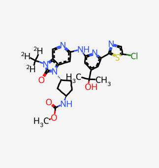 [2H]C([2H])([2H])n1c(=O)n([C@@H]2CC[C@@H](NC(=O)OC)C2)c2cc(Nc3cc(C(C)(C)O)cc(-c4ncc(Cl)s4)n3)ncc21